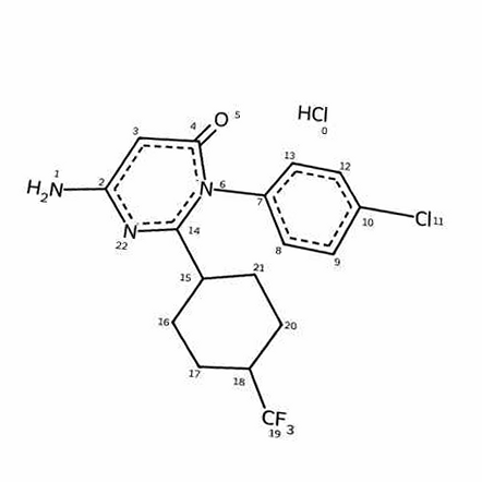 Cl.Nc1cc(=O)n(-c2ccc(Cl)cc2)c(C2CCC(C(F)(F)F)CC2)n1